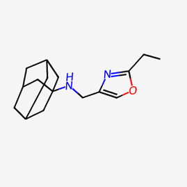 CCc1nc(CNC23CC4CC(CC(C4)C2)C3)co1